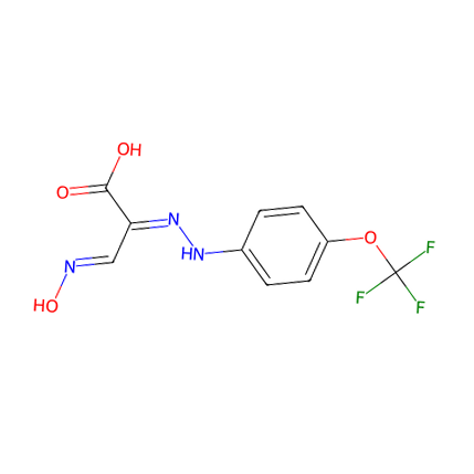 O=C(O)C(/C=N/O)=N/Nc1ccc(OC(F)(F)F)cc1